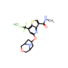 CNC(=O)c1csc2c(C(F)(F)F)cc(OC3CC4COCC(C3)N4)nc12.Cl